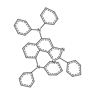 c1ccc(-c2nc3cc(N(c4ccccc4)c4ccccc4)c4cccc(N(c5ccccc5)c5ccccc5)c4c3o2)cc1